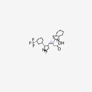 Cn1cc(/C=C(\CC(=O)O)c2nc3ccccc3s2)c(-c2cccc(C(F)(F)F)c2)n1